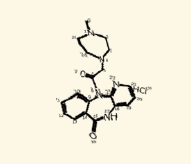 CN1CCN(CC(=O)N2c3ccccc3C(=O)Nc3cccnc32)CC1.Cl